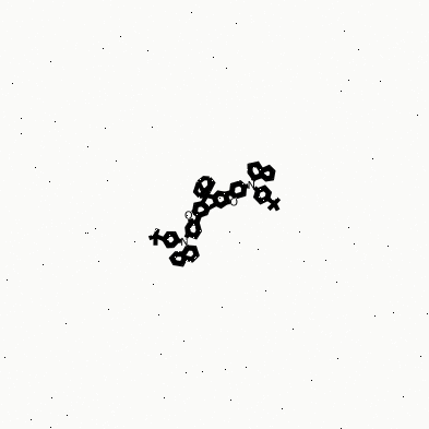 CC(C)(C)c1ccc(N(c2ccc3c(c2)oc2cc4c(cc23)-c2cc3oc5cc(N(c6ccc(C(C)(C)C)cc6)c6cccc7ccccc67)ccc5c3cc2C42C3CC4CC(C3)CC2C4)c2cccc3ccccc23)cc1